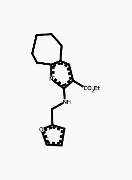 CCOC(=O)c1cc2c(nc1NCc1ccco1)CCCCC2